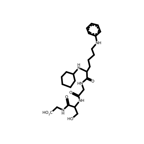 O=C(O)CNC(=O)C(CO)NC(=O)CNC(=O)C(CCCCNc1ccccc1)NC1CCCCC1